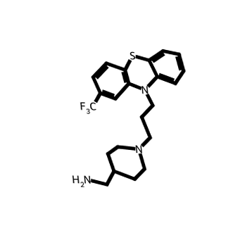 NCC1CCN(CCCN2c3ccccc3Sc3ccc(C(F)(F)F)cc32)CC1